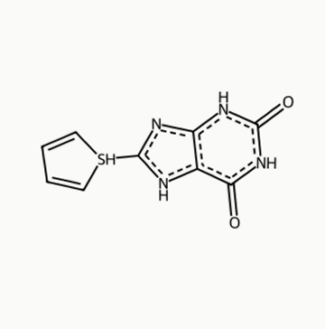 O=c1[nH]c(=O)c2[nH]c([SH]3C=CC=C3)nc2[nH]1